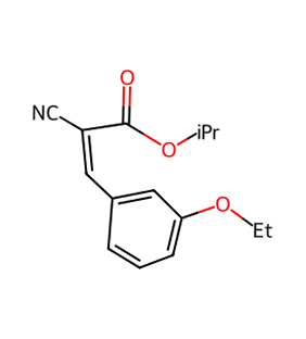 CCOc1cccc(C=C(C#N)C(=O)OC(C)C)c1